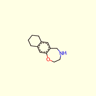 c1c2c(cc3c1CNCCO3)CCCC2